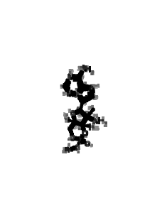 CC(C)O[P@]1(=O)OC[C@H]2O[C@@H](c3cnc4c(N)ncnn34)[C@](C)(N)[C@@H]2O1